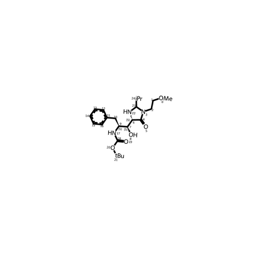 COCCN1C(=O)[C@H]([C@@H](O)[C@H](Cc2ccccc2)NC(=O)OC(C)(C)C)NC1C(C)C